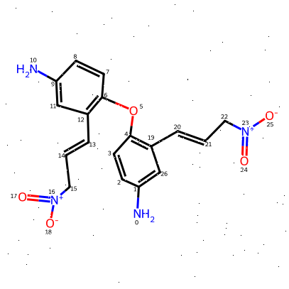 Nc1ccc(Oc2ccc(N)cc2C=CC[N+](=O)[O-])c(C=CC[N+](=O)[O-])c1